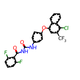 O=C(NC(=O)c1c(F)cccc1F)Nc1ccc(Oc2cc(C(F)(F)F)c(Cl)c3ccccc23)cc1